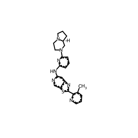 Cc1cccnc1-c1nc2cc(Nc3cccc(N4CCN5CCC[C@H]5C4)n3)ncc2s1